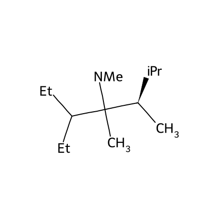 CCC(CC)C(C)(NC)[C@H](C)C(C)C